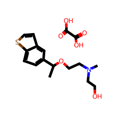 CC(OCCN(C)CCO)c1ccc2sccc2c1.O=C(O)C(=O)O